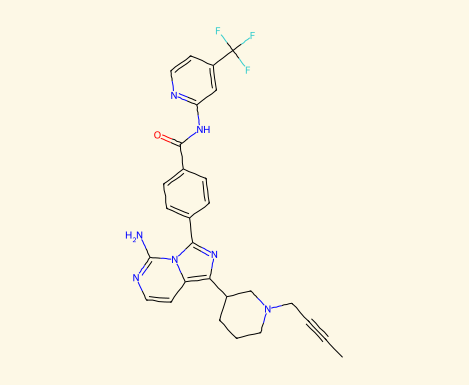 CC#CCN1CCCC(c2nc(-c3ccc(C(=O)Nc4cc(C(F)(F)F)ccn4)cc3)n3c(N)nccc23)C1